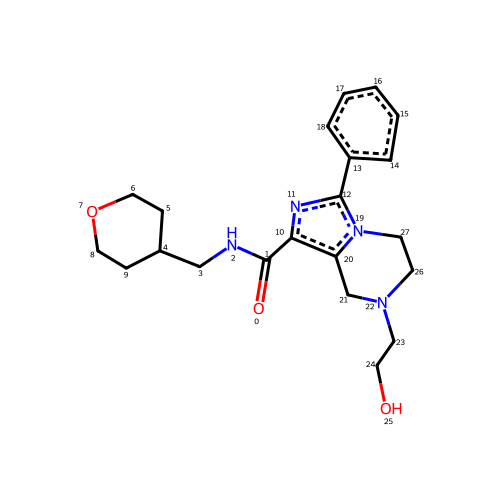 O=C(NCC1CCOCC1)c1nc(-c2ccccc2)n2c1CN(CCO)CC2